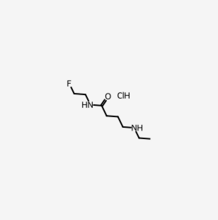 CCNCCCC(=O)NCCF.Cl